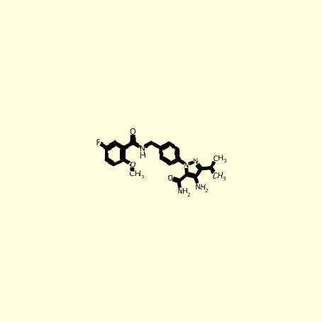 COc1ccc(F)cc1C(=O)NCc1ccc(-n2nc(C(C)C)c(N)c2C(N)=O)cc1